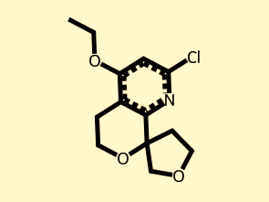 CCOc1cc(Cl)nc2c1CCOC21CCOC1